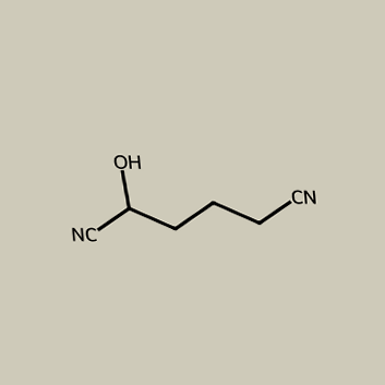 N#CCCCC(O)C#N